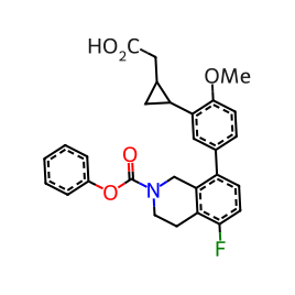 COc1ccc(-c2ccc(F)c3c2CN(C(=O)Oc2ccccc2)CC3)cc1C1CC1CC(=O)O